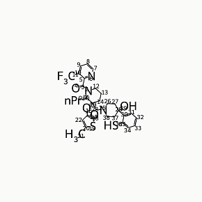 CCC[C@H]1N(C(=O)c2ncccc2C(F)(F)F)CCC[C@@]1(Oc1csc(C)c1)C(=O)N1CCC(O)(c2ccccc2S)CC1